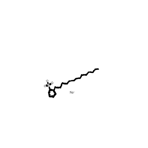 CCCCCCCCCCCCCCc1ccccc1S(=O)(=O)[O-].[Na+]